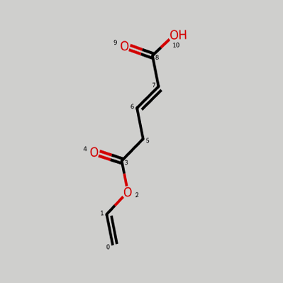 C=COC(=O)CC=CC(=O)O